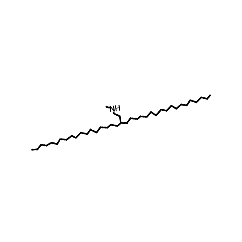 CCCCCCCCCCCCCCCCCCC(CCCCCCCCCCCCCCCCCC)CCNC